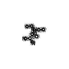 C1=CC2Oc3c(-c4cc(-c5ccncc5)cc(-c5ccncc5)c4)ccc(-c4nc(-c5ccc(-c6ccccc6)cc5)nc(-c5cccc(-c6ccccc6)c5)n4)c3OC2C=C1